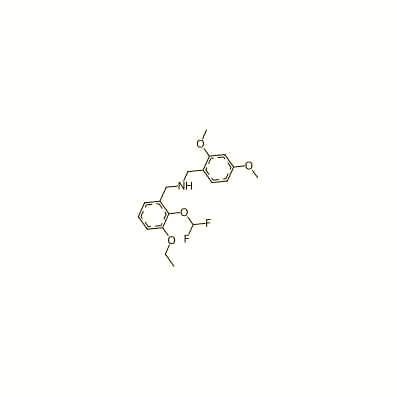 CCOc1cccc(CNCc2ccc(OC)cc2OC)c1OC(F)F